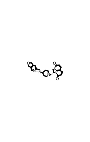 O=c1ccc2ccc(=O)n3c2n1C[C@H]3CN1CCC(NCc2cc3c(cn2)COC3)CC1